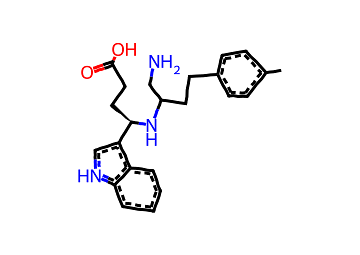 Cc1ccc(CCC(CN)N[C@H](CCC(=O)O)c2c[nH]c3ccccc23)cc1